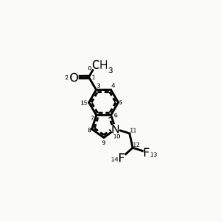 CC(=O)c1ccc2c(ccn2CC(F)F)c1